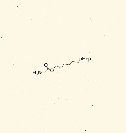 CCCCCCCCCCCCCOC(=O)CN